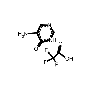 Nc1cnc[nH]c1=O.O=C(O)C(F)(F)F